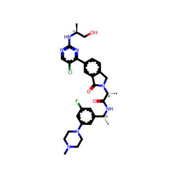 C[C@H](C(=O)N[C@H](C)c1cc(F)cc(N2CCN(C)CC2)c1)N1Cc2ccc(-c3nc(N[C@@H](C)CO)ncc3Cl)cc2C1=O